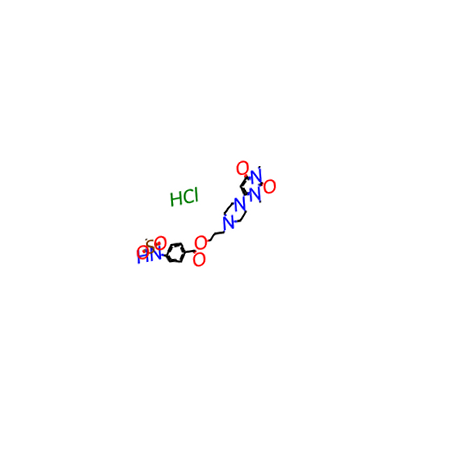 Cl.Cn1c(N2CCN(CCCOC(=O)c3ccc(NS(C)(=O)=O)cc3)CC2)cc(=O)n(C)c1=O